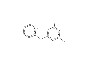 Cc1cc(C)cc(Cc2[c]cccc2)c1